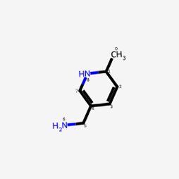 CC1C=CC(CN)=CN1